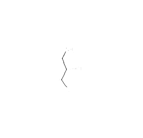 NC[C@H](O)CCl